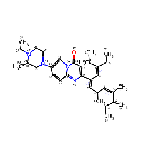 C=C(C)/C(=C\C(=C/C(C)/C=C(/C)C(C)CC)c1cc(=O)n2cc(N3CCN(CC)[C@H](C)C3)ccc2n1)CC